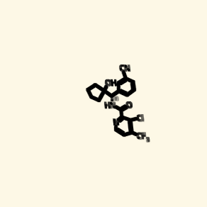 N#Cc1cccc([C@H](NC(=O)c2nccc(C(F)(F)F)c2Cl)C2(O)CCCC2)c1